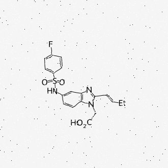 CCC=Cc1nc2cc(NS(=O)(=O)c3ccc(F)cc3)ccc2n1CC(=O)O